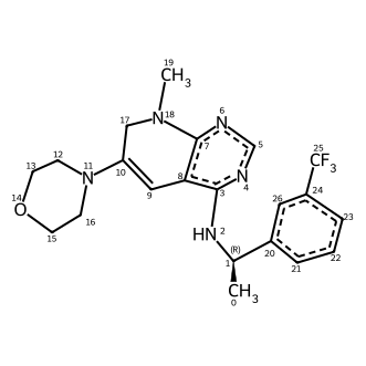 C[C@@H](Nc1ncnc2c1C=C(N1CCOCC1)CN2C)c1cccc(C(F)(F)F)c1